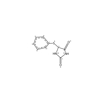 O=C1NC(=O)C(Sc2ccccc2)N1